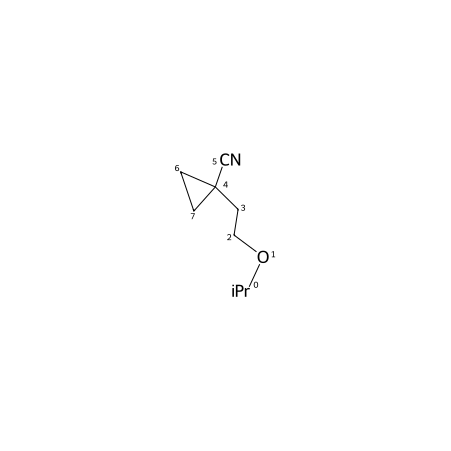 CC(C)OCCC1(C#N)CC1